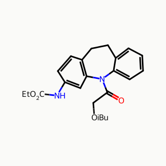 CCOC(=O)Nc1ccc2c(c1)N(C(=O)COCC(C)C)c1ccccc1CC2